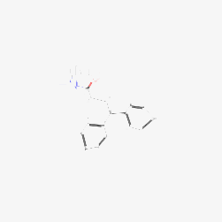 CC(C)(C)NC(=O)CCC(c1ccccc1)c1ccccc1